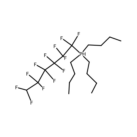 CCCC[PH](CCCC)(CCCC)C(F)(F)C(F)(F)C(F)(F)C(F)(F)C(F)(F)C(F)F